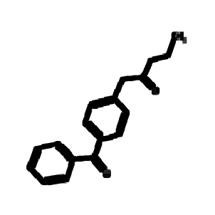 CCCC(=O)Cc1ccc(C(=O)c2ccccc2)cc1